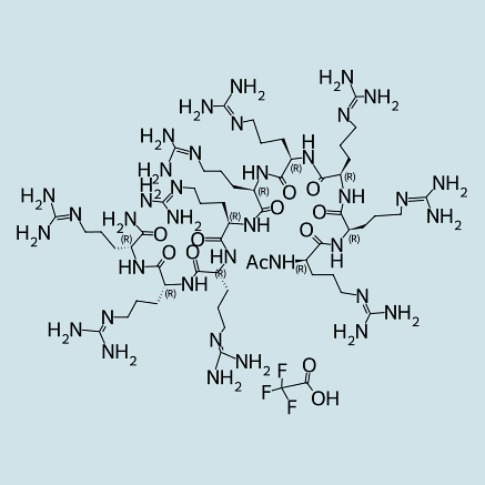 CC(=O)N[C@H](CCCN=C(N)N)C(=O)N[C@H](CCCN=C(N)N)C(=O)N[C@H](CCCN=C(N)N)C(=O)N[C@H](CCCN=C(N)N)C(=O)N[C@H](CCCN=C(N)N)C(=O)N[C@H](CCCN=C(N)N)C(=O)N[C@H](CCCN=C(N)N)C(=O)N[C@H](CCCN=C(N)N)C(=O)N[C@H](CCCN=C(N)N)C(N)=O.O=C(O)C(F)(F)F